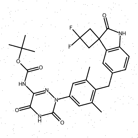 Cc1cc(-n2nc(NC(=O)OC(C)(C)C)c(=O)[nH]c2=O)cc(C)c1Cc1ccc2c(c1)C1(CC(F)(F)C1)C(=O)N2